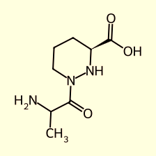 CC(N)C(=O)N1CCC[C@@H](C(=O)O)N1